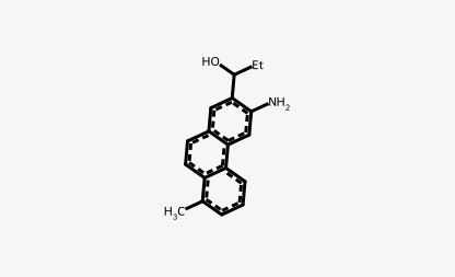 CCC(O)c1cc2ccc3c(C)cccc3c2cc1N